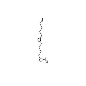 CCCCCOCCCCI